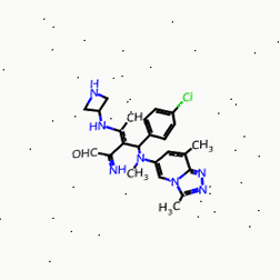 C/C(NC1CNC1)=C(/C(=N)C=O)C(c1ccc(Cl)cc1)N(C)c1cc(C)c2nnc(C)n2c1